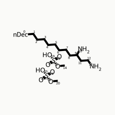 CCCCCCCCCCCCCCCCCCC(N)CCN.COS(=O)(=O)O.COS(=O)(=O)O